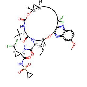 CC[C@@H]1[C@@H]2CN(C(=O)[C@H](C(C)(C)C)NC(=O)O[C@@H]3C[C@H]3CCCCC(F)(F)c3nc4ccc(OC)cc4nc3O2)[C@@H]1C(=O)N[C@]1(C(=O)NS(=O)(=O)C2CC2)C[C@H]1C(F)F